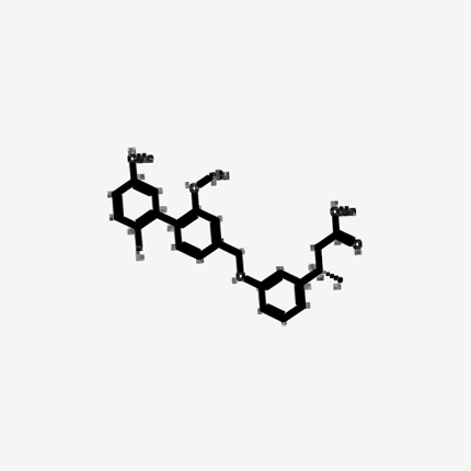 CCCCOc1cc(COc2cccc([C@@H](C)CC(=O)OC)c2)ccc1-c1cc(OC)ccc1F